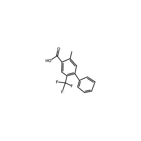 Cc1cc(-c2ccccc2)c(C(F)(F)F)cc1C(=O)O